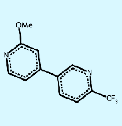 COc1cc(-c2ccc(C(F)(F)F)nc2)ccn1